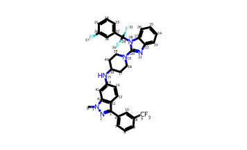 Cn1nc(-c2cccc(C(F)(F)F)c2)c2ccc(NC3CCN(c4nc5ccccc5n4C(F)(F)c4cccc(F)c4)CC3)cc21